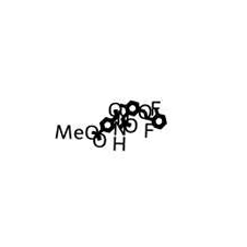 COC(=O)c1ccc2c(=O)n(-c3cc(OCc4c(F)cccc4F)ccc3C)c(=O)[nH]c2c1